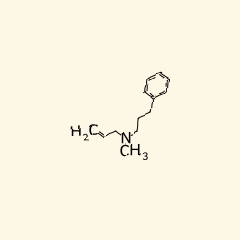 C=CCN(C)CCCc1ccccc1